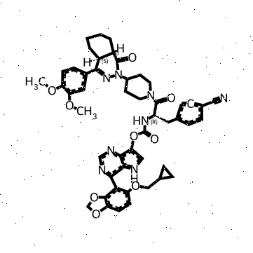 COc1ccc(C2=NN(C3CCN(C(=O)[C@@H](Cc4ccc(C#N)cc4)NC(=O)Oc4c[nH]c5c(-c6c(OCC7CC7)ccc7c6OCO7)ncnc45)CC3)C(=O)[C@@H]3CCCC[C@H]23)cc1OC